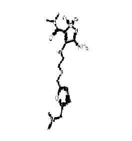 CN(C)Cc1ccc(CSCCNC2=C(C(=O)N(C)C)S(=O)(=O)N=C2N)o1